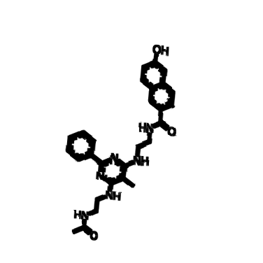 CC(=O)NCCNc1nc(-c2ccccc2)nc(NCCNC(=O)c2ccc3cc(O)ccc3c2)c1C